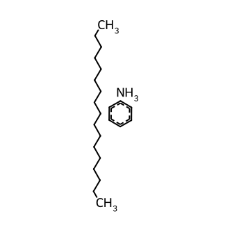 CCCCCCCCCCCCCCCCC.N.c1ccccc1